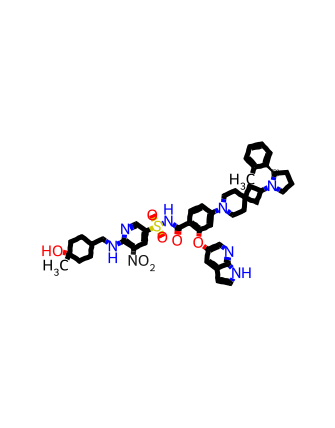 Cc1ccccc1[C@H]1CCCN1C1CC2(CCN(c3ccc(C(=O)NS(=O)(=O)c4cnc(NCC5CCC(C)(O)CC5)c([N+](=O)[O-])c4)c(Oc4cnc5[nH]ccc5c4)c3)CC2)C1